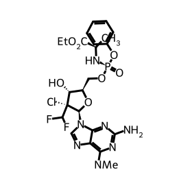 CCOC(=O)[C@@H](C)N[P@@](=O)(OC[C@H]1O[C@@H](n2cnc3c(NC)nc(N)nc32)[C@@](Cl)(C(F)F)[C@@H]1O)Oc1ccccc1